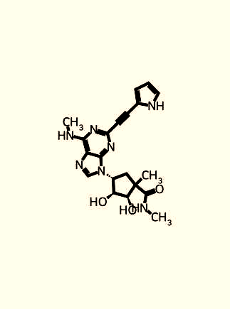 CNC(=O)C1(C)C[C@@H](n2cnc3c(NC)nc(C#Cc4ccc[nH]4)nc32)[C@H](O)[C@@H]1O